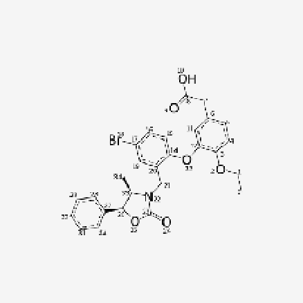 CCOc1ccc(CC(=O)O)cc1Oc1ccc(Br)cc1CN1C(=O)O[C@@H](c2ccccc2)[C@H]1C